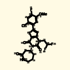 COc1cc(-c2cc3c(s2)c(=O)n([C@@H]2CCCNC(=O)C2)c(=O)n3CC(F)F)c(Cl)cc1F